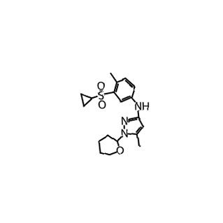 Cc1ccc(Nc2cc(C)n(C3CCCCO3)n2)cc1S(=O)(=O)C1CC1